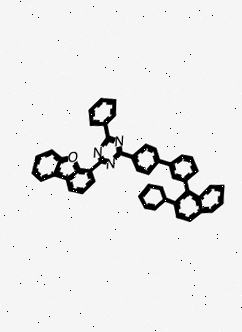 C1=CCC(c2ccc3ccccc3c2-c2cccc(-c3ccc(-c4nc(-c5ccccc5)nc(-c5cccc6c5oc5ccccc56)n4)cc3)c2)C=C1